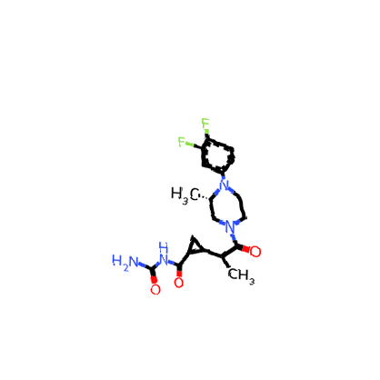 CC(C(=O)N1CCN(c2ccc(F)c(F)c2)[C@@H](C)C1)C1CC1C(=O)NC(N)=O